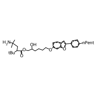 CCCCCc1ccc(-c2cc3ccc(OCCCCC(O)COC(=O)C(CC(C)(C)N)C(C)(C)C)cc3o2)cc1